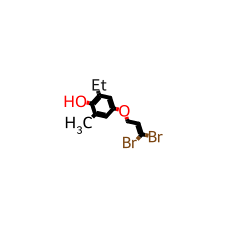 CCc1cc(OCC=C(Br)Br)cc(C)c1O